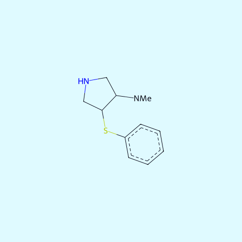 CNC1CNCC1Sc1ccccc1